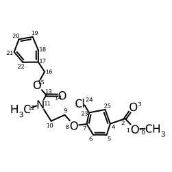 COC(=O)c1ccc(OCCN(C)C(=O)OCc2ccccc2)c(Cl)c1